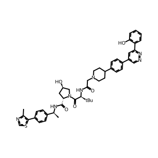 Cc1ncsc1-c1ccc([C@H](C)NC(=O)[C@@H]2C[C@@H](O)CN2C(=O)[C@@H](NC(=O)CN2CCC(c3ccc(-c4cnnc(-c5ccccc5O)c4)cc3)CC2)C(C)(C)C)cc1